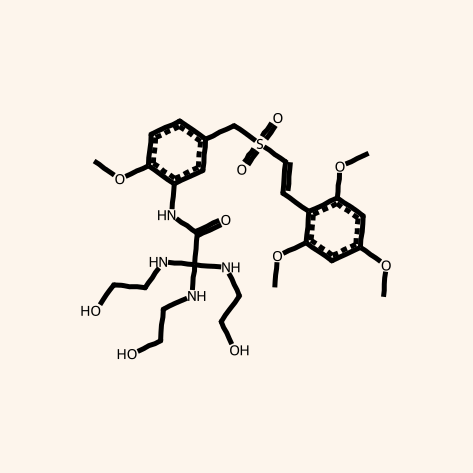 COc1cc(OC)c(C=CS(=O)(=O)Cc2ccc(OC)c(NC(=O)C(NCCO)(NCCO)NCCO)c2)c(OC)c1